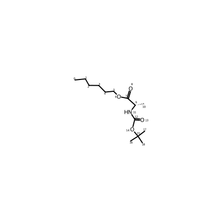 CCCCCCOC(=O)[C@H](C)NC(=O)OC(C)(C)C